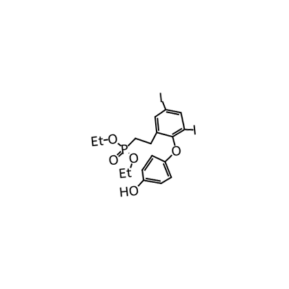 CCOP(=O)(CCc1cc(I)cc(I)c1Oc1ccc(O)cc1)OCC